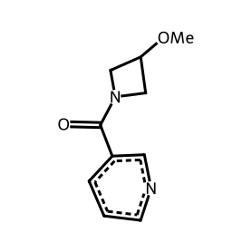 COC1CN(C(=O)c2cccnc2)C1